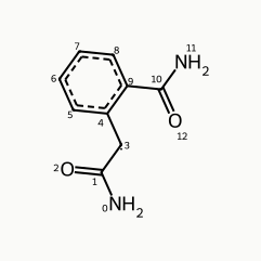 NC(=O)[CH]c1ccccc1C(N)=O